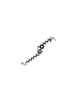 CCCCCCCCCCOc1cnc(-c2ccc(CCCCCC(C)F)cc2F)nc1